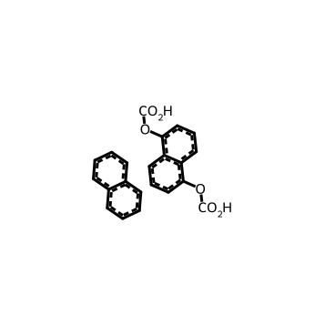 O=C(O)Oc1cccc2c(OC(=O)O)cccc12.c1ccc2ccccc2c1